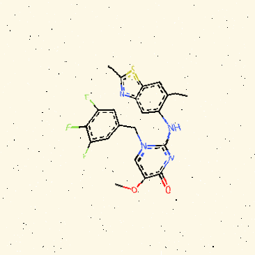 COc1cn(Cc2cc(F)c(F)c(F)c2)c(Nc2cc3nc(C)sc3cc2C)nc1=O